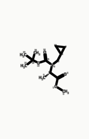 COC(=O)[C@H](C)N(CC1CC1)C(=O)OC(C)(C)C